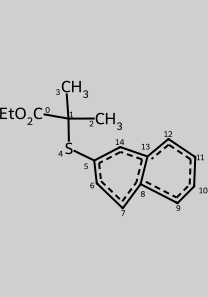 CCOC(=O)C(C)(C)Sc1ccc2ccccc2c1